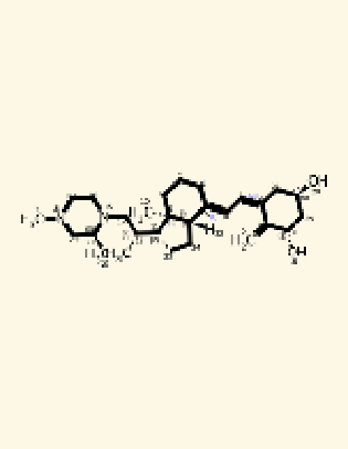 C=C1/C(=C\C=C2/CCC[C@]3(C)[C@@H]([C@H](C)CN4CCN(C)C[C@@H]4C)CC[C@@H]23)C[C@@H](O)C[C@@H]1O